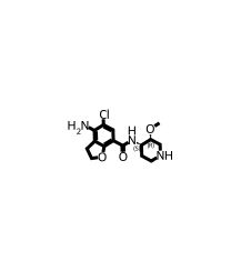 CO[C@@H]1CNCC[C@@H]1NC(=O)c1cc(Cl)c(N)c2c1OCC2